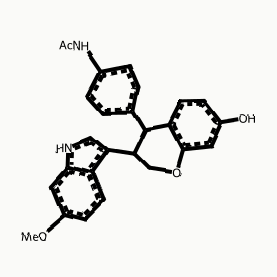 COc1ccc2c(C3COc4cc(O)ccc4C3c3ccc(NC(C)=O)cc3)c[nH]c2c1